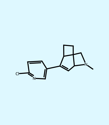 CN1CC23CCC2C(c2ccc(Cl)nc2)=CC13